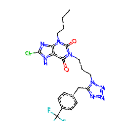 CCCCn1c(=O)n(CCCn2nnnc2Cc2ccc(C(F)(F)F)cc2)c(=O)c2[nH]c(Cl)nc21